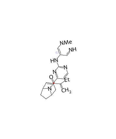 C=C(CC)C(=O)N1C2C=C(c3ccnc(N/C(C=N)=C/NC)n3)CC1CC2